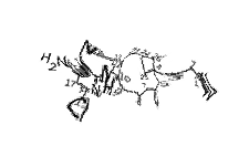 N#CCCC12C/C=C/CC[C@H](n3cnc4c(N)cc(Cl)nc43)CCC(C1)C2